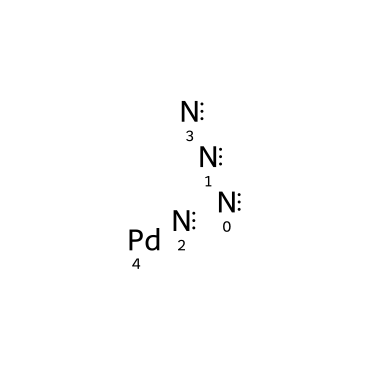 [N].[N].[N].[N].[Pd]